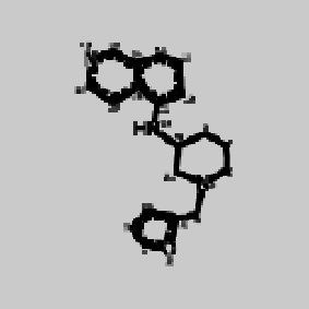 c1coc(CN2CCCC(Nc3cccc4cnccc34)C2)c1